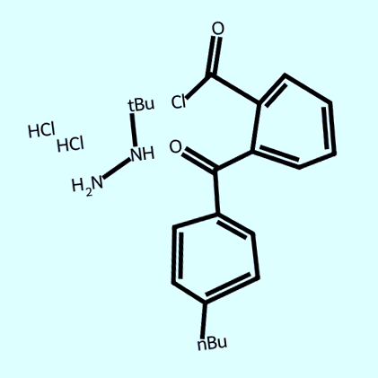 CC(C)(C)NN.CCCCc1ccc(C(=O)c2ccccc2C(=O)Cl)cc1.Cl.Cl